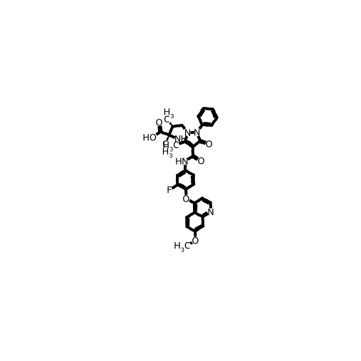 COc1ccc2c(Oc3ccc(NC(=O)c4c(C)n(C[C@H](C)[C@](C)(N)C(=O)O)n(-c5ccccc5)c4=O)cc3F)ccnc2c1